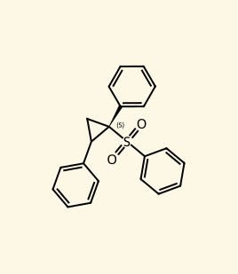 O=S(=O)(c1ccccc1)[C@@]1(c2ccccc2)CC1c1ccccc1